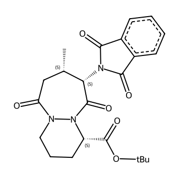 C[C@H]1CC(=O)N2CCC[C@@H](C(=O)OC(C)(C)C)N2C(=O)[C@H]1N1C(=O)c2ccccc2C1=O